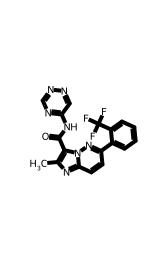 Cc1nc2ccc(-c3ccccc3C(F)(F)F)nn2c1C(=O)Nc1cnncn1